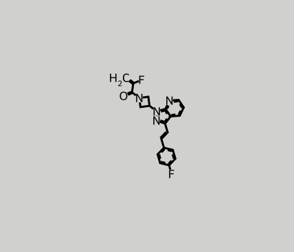 C=C(F)C(=O)N1CC(n2nc(/C=C/c3ccc(F)cc3)c3cccnc32)C1